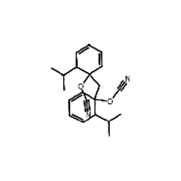 CC(C)C1C=CC=CC1(CC1(OC#N)C=CC=CC1C(C)C)OC#N